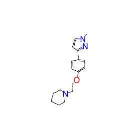 Cn1ccc(-c2ccc(OCCN3CCCCC3)cc2)n1